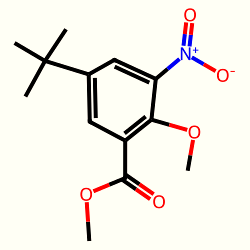 COC(=O)c1cc(C(C)(C)C)cc([N+](=O)[O-])c1OC